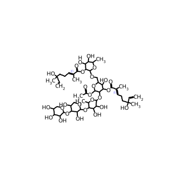 C=CC(C)(O)CC/C=C(\C)C(=O)OC1C(OCC2OC(OC(C)=O)C(OC3OC(C)C(OC4OCC(O)C(OC5OCC(O)C(O)C5O)C4O)C(O)C3O)C(OC(=O)/C(C)=C/CCC(C)(O)C=C)C2O)OC(C)C(O)C1O